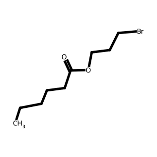 CCCCCC(=O)OCCCBr